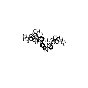 CCC[C@H](N[S@@+]([O-])C(C)(C)C)c1cccc(-c2ccc3cnn(-c4cccc(CO[SiH2]C(C)(C)C)n4)c3c2)n1